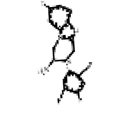 NC1Cn2c(nc3ccc(F)cc32)C[C@@H]1c1cc(F)c(F)cc1F